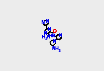 Nc1ncc(-c2cncnc2)nc1C(=O)Nc1cnccc1N1CCCC(N)C1